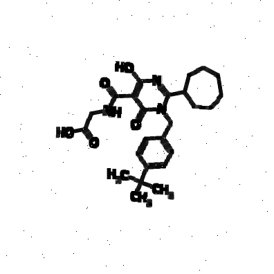 CC(C)(C)c1ccc(Cn2c(C3CCCCCC3)nc(O)c(C(=O)NCC(=O)O)c2=O)cc1